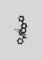 C[C@@H]1[C@H]2Cc3ccc(-c4cccnc4)cc3[C@]1(C)CCN2C(=O)N1CCCCC1